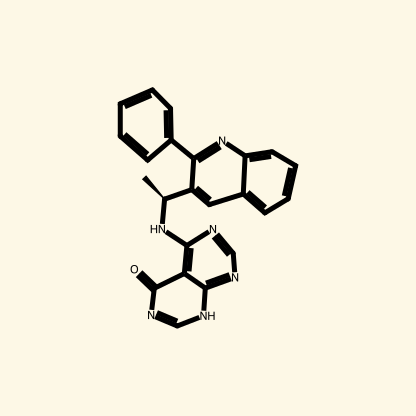 C[C@H](Nc1ncnc2[nH]cnc(=O)c12)c1cc2ccccc2nc1-c1ccccc1